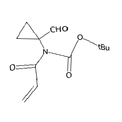 C=CC(=O)N(C(=O)OC(C)(C)C)C1(C=O)CC1